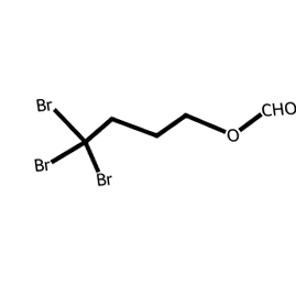 O=COCCCC(Br)(Br)Br